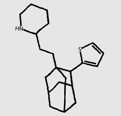 c1csc(C2C3CC4CC(C3)CC2(CCC2CCCCN2)C4)c1